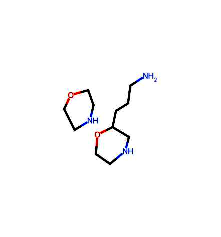 C1COCCN1.NCCCC1CNCCO1